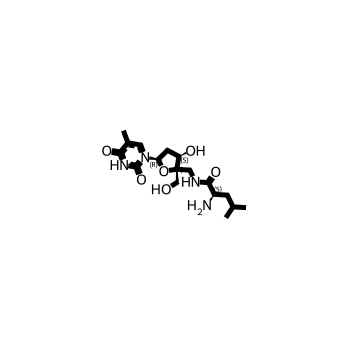 Cc1cn([C@H]2C[C@H](O)[C@](CO)(CNC(=O)[C@@H](N)CC(C)C)O2)c(=O)[nH]c1=O